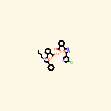 CCCCN1C=C(c2ccccc2)OC1c1ccccc1C(=O)O.O=C(O)c1ccccc1-c1nnc(-c2cncc(Cl)c2)o1